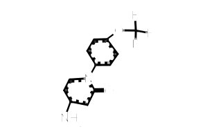 Nc1ccn(-c2ccc(OC(F)(F)F)cc2)c(=O)c1